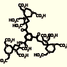 O=C(O)CN1CCN(CC(=O)O)CC(CCCC(=O)c2cc(C(=O)CCCC3(N(CC(=O)O)CC(=O)O)CN(CC(=O)O)CCN(CC(=O)O)C3)cc(C(=O)NCCC3(N(CC(=O)O)CC(=O)O)CN(CC(=O)O)CCN(CC(=O)O)C3)c2)(N(CC(=O)O)CC(=O)O)C1